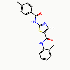 Cc1ccc(C(=O)Nc2nc(C)c(C(=O)Nc3ccccc3C)s2)cc1